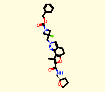 Cc1c(C(=O)NC[C@@H]2CCCO2)oc2c1-c1nn(CC3(F)CN(C(=O)OCc4ccccc4)C3)cc1CC2